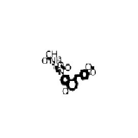 CC(=O)NC[C@H]1CN(c2ccc3c(c2)C(=Cc2ccc4c(c2)OCO4)CCCC3=O)C(=O)O1